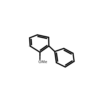 COc1[c]cccc1-c1ccccc1